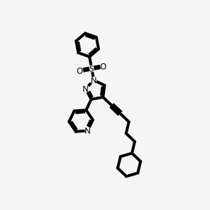 O=S(=O)(c1ccccc1)n1cc(C#CCCCC2CCCCC2)c(-c2cccnc2)n1